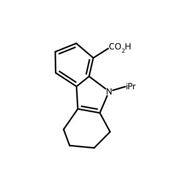 CC(C)n1c2c(c3cccc(C(=O)O)c31)CCCC2